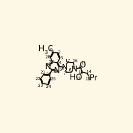 Cc1ccc2c(N3CCN(C(=O)C(O)CC(C)C)CC3)nc(-c3ccccc3)nc2c1